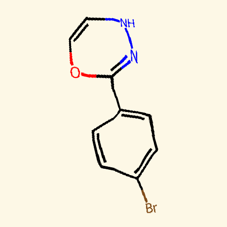 Brc1ccc(C2=NNC=CO2)cc1